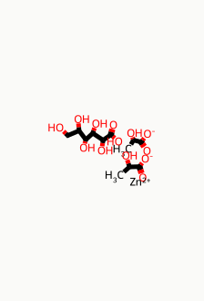 CC(O)C(=O)[O-].CC(O)C(=O)[O-].O=C(O)C(O)C(O)C(O)C(O)CO.[Zn+2]